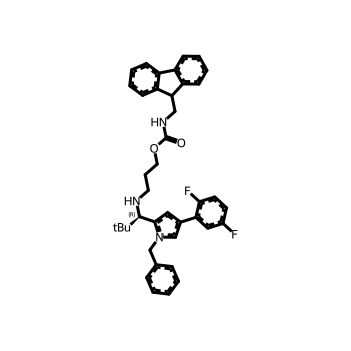 CC(C)(C)[C@@H](NCCCOC(=O)NCC1c2ccccc2-c2ccccc21)c1cc(-c2cc(F)ccc2F)cn1Cc1ccccc1